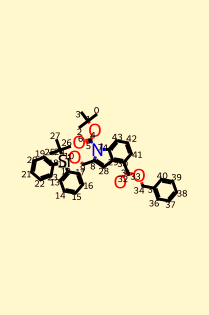 CC(C)(C)OC(=O)n1c(CO[Si](c2ccccc2)(c2ccccc2)C(C)(C)C)cc2c(C(=O)OCc3ccccc3)cccc21